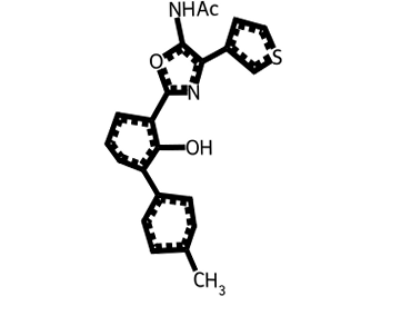 CC(=O)Nc1oc(-c2cccc(-c3ccc(C)cc3)c2O)nc1-c1ccsc1